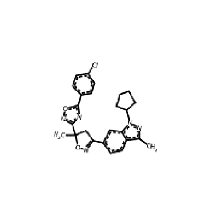 Cc1nn(C2CCCC2)c2cc(C3=NOC(C)(c4noc(-c5ccc(Cl)cc5)n4)C3)ccc12